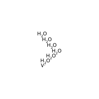 O.O.O.O.O.O.[V]